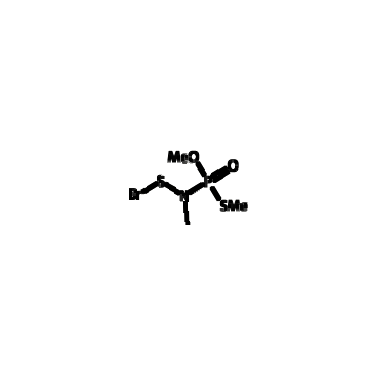 COP(=O)(SC)N(C)SBr